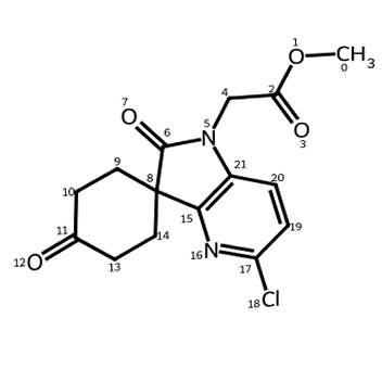 COC(=O)CN1C(=O)C2(CCC(=O)CC2)c2nc(Cl)ccc21